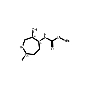 C[C@@H]1CC[C@H](NC(=O)OC(C)(C)C)[C@H](O)CN1